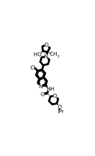 CC(C)O[C@H]1CC[C@H](C(=O)Nc2cc3cc(C4CCN([C@]5(C)COC[C@@H]5O)CC4)c(Cl)cc3cn2)OC1